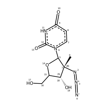 C[C@]1(N=[N+]=[N-])C(n2ccc(=O)[nH]c2=O)OC(CO)[C@H]1O